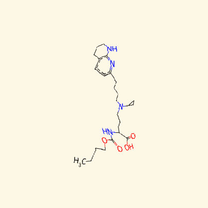 CCCCOC(=O)NC(CCN(CCCCc1ccc2c(n1)NCCC2)C1CC1)C(=O)O